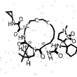 CN1CC[C@H](C2(NC(=O)N[C@H]3CCCCCCCCC[C@@H](C(=O)C(=O)NC4CC4)NC(=O)[C@@H]4[C@@H]5[C@H](CN4C3=O)C5(C)C)CCCCC2)S1(=O)=O